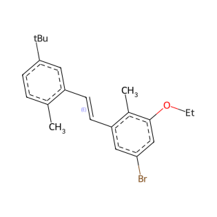 CCOc1cc(Br)cc(/C=C/c2cc(C(C)(C)C)ccc2C)c1C